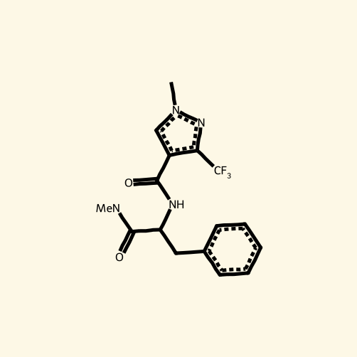 CNC(=O)C(Cc1ccccc1)NC(=O)c1cn(C)nc1C(F)(F)F